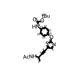 CC(=O)NC(C)C#Cc1cnc(Oc2ccc(NC(=O)OC(C)(C)C)cc2)s1